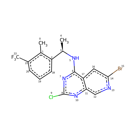 Cc1c([C@@H](C)Nc2nc(Cl)nc3cnc(Br)cc23)cccc1C(F)(F)F